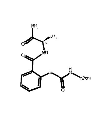 CCCCCNC(=O)Sc1ccccc1C(=O)N[C@H](C)C(N)=O